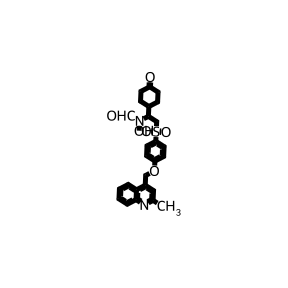 Cc1cc(COc2ccc(S(=O)(=O)CC(C3CCC(=O)CC3)N(O)C=O)cc2)c2ccccc2n1